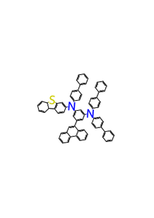 C1=CC2Sc3cc(N(c4ccc(-c5ccccc5)cc4)c4cc(-c5cc6ccccc6c6ccccc56)cc(N(c5ccc(-c6ccccc6)cc5)c5ccc(-c6ccccc6)cc5)c4)ccc3C2C=C1